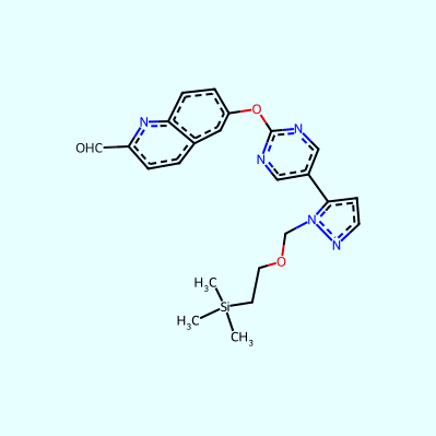 C[Si](C)(C)CCOCn1nccc1-c1cnc(Oc2ccc3nc(C=O)ccc3c2)nc1